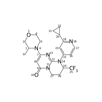 CC1COCCN1c1cc(=O)n2c(n1)N(c1ccnc(C3CC3)c1)C(C(F)(F)F)CC2